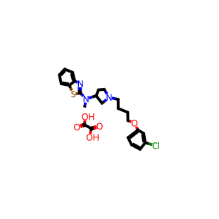 CN(c1nc2ccccc2s1)C1CCN(CCCCOc2cccc(Cl)c2)C1.O=C(O)C(=O)O